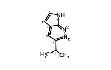 CC(C)c1cc2cc[nH]c2nn1